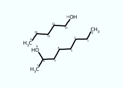 CCCCCCC(C)O.CCCCCO